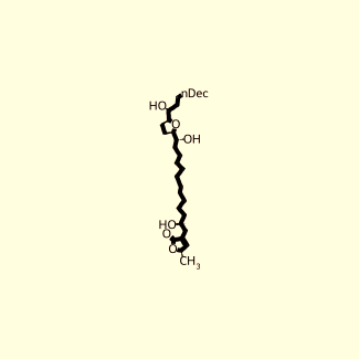 CCCCCCCCCCCC[C@@H](O)[C@@H]1CC[C@H]([C@H](O)CCCCCCCCCC[C@H](O)CC2=C[C@H](C)OC2=O)O1